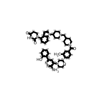 Cc1cc(C(=O)N2CCC(CN3CCC(n4ccc5c(N6CCC(=O)NC6=O)cccc54)CC3)CC2)ccc1[C@H]1CN(c2cc(-c3ccccc3O)nnc2N)CCO1